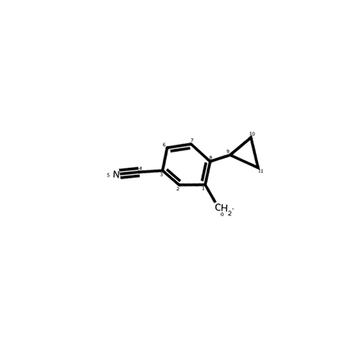 [CH2]c1cc(C#N)ccc1C1CC1